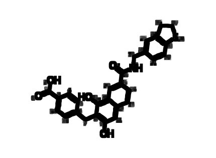 O=C(O)c1ccc(Cc2c(O)cc3ccc(C(=O)NCc4ccc5c(c4)CCS5)cc3c2O)cc1